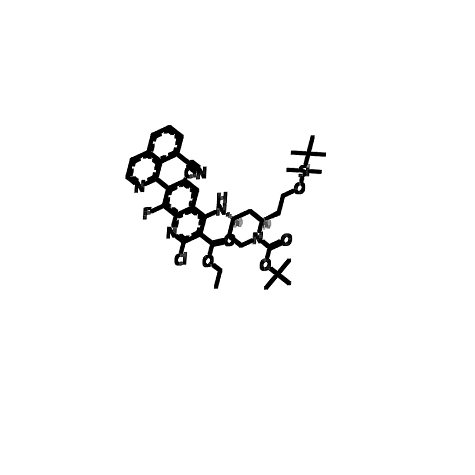 CCOC(=O)c1c(Cl)nc2c(F)c(-c3nccc4cccc(C#N)c34)c(Cl)cc2c1N[C@H]1CCN(C(=O)OC(C)(C)C)[C@H](CCO[Si](C)(C)C(C)(C)C)C1